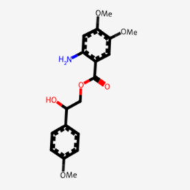 COc1ccc(C(O)COC(=O)c2cc(OC)c(OC)cc2N)cc1